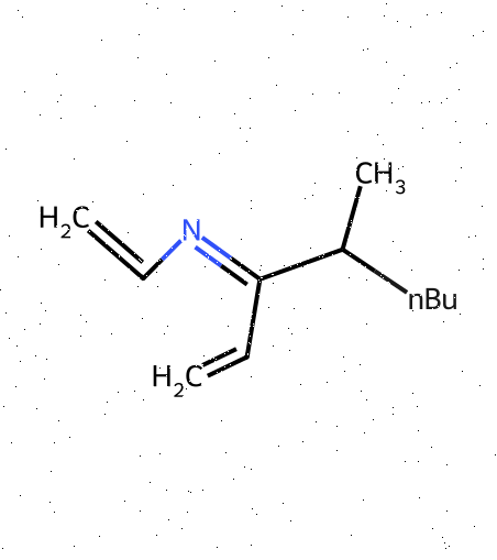 C=C/N=C(\C=C)C(C)CCCC